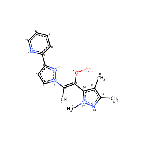 BOC(=C(C#N)n1ccc(-c2ccccn2)n1)c1c(C)c(C)nn1C